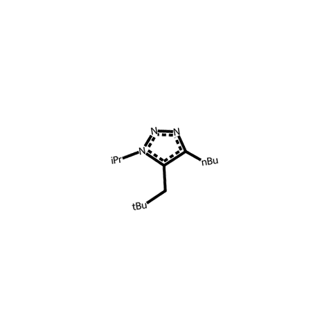 CCCCc1nnn(C(C)C)c1CC(C)(C)C